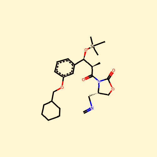 C=NC[C@H]1COC(=O)N1C(=O)[C@H](C)[C@H](O[Si](C)(C)C)c1cccc(OCC2CCCCC2)c1